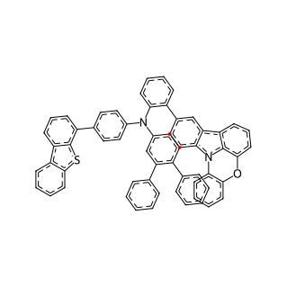 c1ccc(-c2ccc(N(c3ccc(-c4cccc5c4sc4ccccc45)cc3)c3ccccc3-c3ccc4c(c3)c3cccc5c3n4-c3ccccc3O5)cc2-c2ccccc2)cc1